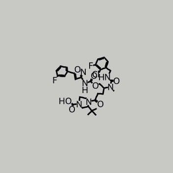 CN(C(=O)NCc1cccc(F)c1Cl)C(CCC(=O)N1CCN(C(=O)O)CC1C(C)(C)C)COC(=O)Nc1cc(-c2cccc(F)c2)on1